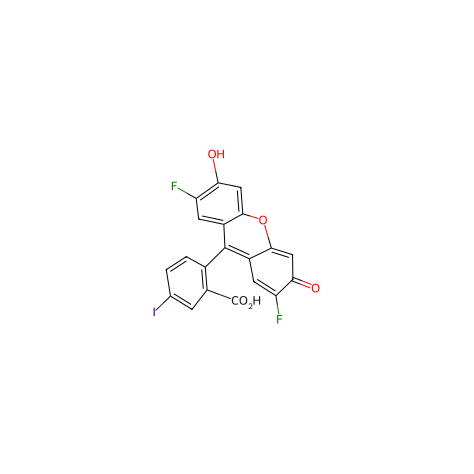 O=C(O)c1cc(I)ccc1-c1c2cc(F)c(=O)cc-2oc2cc(O)c(F)cc12